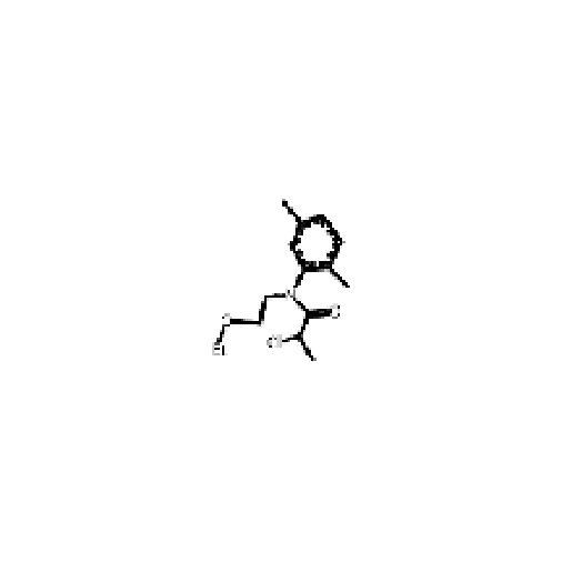 CCOCCN(C(=O)C(C)Cl)c1cc(C)ccc1C